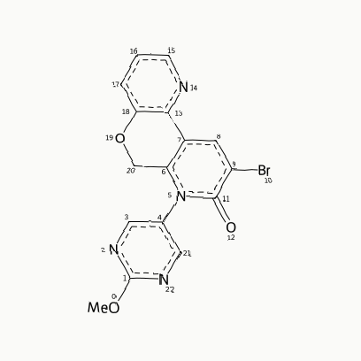 COc1ncc(-n2c3c(cc(Br)c2=O)-c2ncccc2OC3)cn1